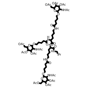 CC(=O)NC1C(OCCCCC(=O)NCCCCC(NC(=O)CCCCOC2OC(COC(C)=O)C(OC(C)=O)C(OC(C)=O)C2NC(C)=O)C(=O)NC(CCCCNC(=O)CCCCOC2OC(COC(C)=O)C(OC(C)=O)C(OC(C)=O)C2NC(C)=O)C(=O)NCC(C)C)OC(COC(C)=O)C(OC(C)=O)C1OC(C)=O